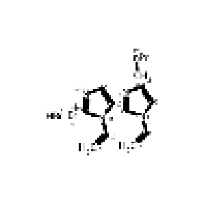 Br.Br.C=Cn1ccnc1.C=Cn1ccnc1.CCCC